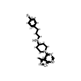 Cc1noc2ncnc(N3CCC(NCCCc4ccc(F)cc4)CC3)c12